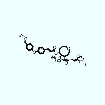 CO[C@H]1[C@H](C2(C)O[C@H]2CC=C(C)C)CCOCCC[C@H]1OC(=O)/C=C/c1ccc(Oc2ccc(COC(C)C)cc2)cc1